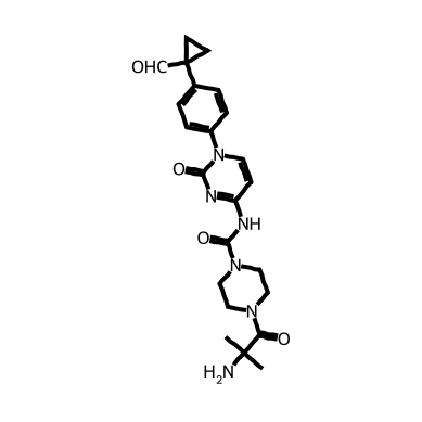 CC(C)(N)C(=O)N1CCN(C(=O)Nc2ccn(-c3ccc(C4(C=O)CC4)cc3)c(=O)n2)CC1